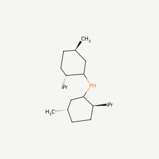 CC(C)[C@H]1CC[C@H](C)CC1PC1C[C@H](C)CC[C@H]1C(C)C